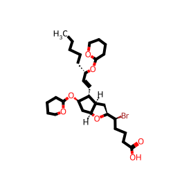 CCCCC[C@@H](/C=C/[C@@H]1[C@H]2C[C@@H]([C@@H](Br)CCCC(=O)O)O[C@H]2C[C@H]1OC1CCCCO1)OC1CCCCO1